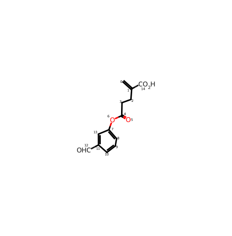 C=C(CCC(=O)Oc1cccc(C=O)c1)C(=O)O